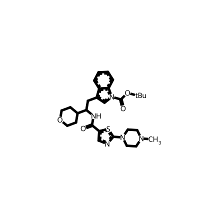 CN1CCN(c2ncc(C(=O)NC(Cc3cn(C(=O)OC(C)(C)C)c4ccccc34)C3CCOCC3)s2)CC1